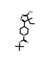 CCC1(C)C(O)=NN=C1C1CCN(C(=O)OC(C)(C)C)CC1